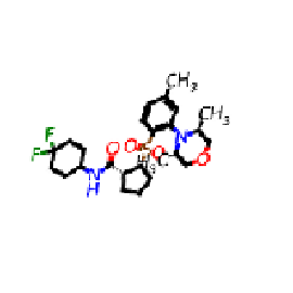 Cc1ccc(S(=O)(=O)[C@H]2CCC[C@@H]2C(=O)NC2CCC(F)(F)CC2)c(N2[C@@H](C)COC[C@@H]2C)c1